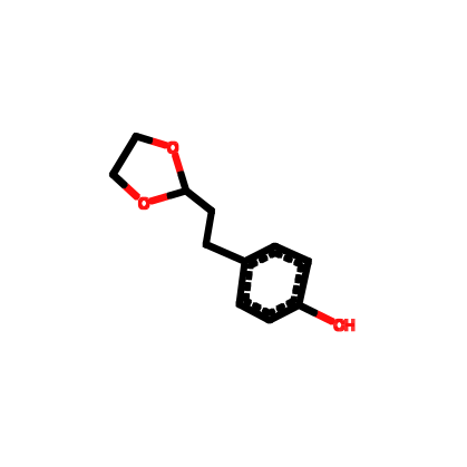 Oc1ccc(CCC2OCCO2)cc1